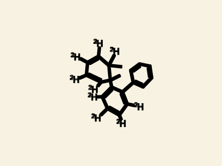 [2H]C1=C([2H])C([2H])(C)C(C)(c2c([2H])c([2H])c([2H])c([2H])c2-c2ccccc2)C([2H])=C1[2H]